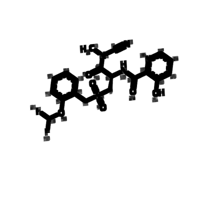 CN(C#N)C(=O)[C@H](CS(=O)(=O)Cc1ccccc1OC(F)F)NC(=O)c1ncccc1O